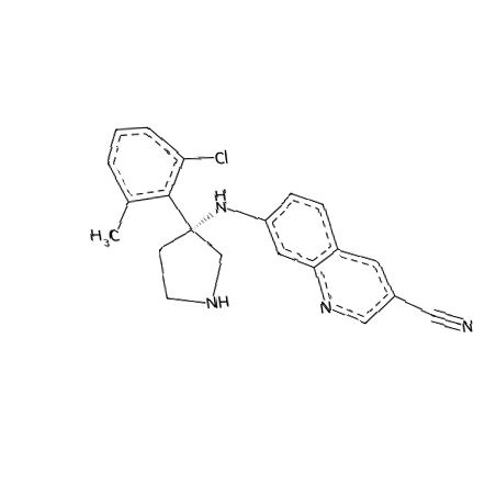 Cc1cccc(Cl)c1[C@]1(Nc2ccc3cc(C#N)cnc3c2)CCNC1